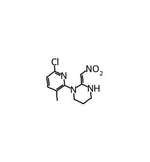 Cc1ccc(Cl)nc1N1CCCNC1=C[N+](=O)[O-]